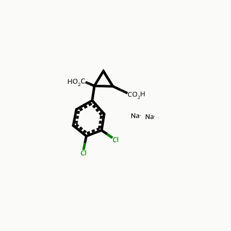 O=C(O)C1CC1(C(=O)O)c1ccc(Cl)c(Cl)c1.[Na].[Na]